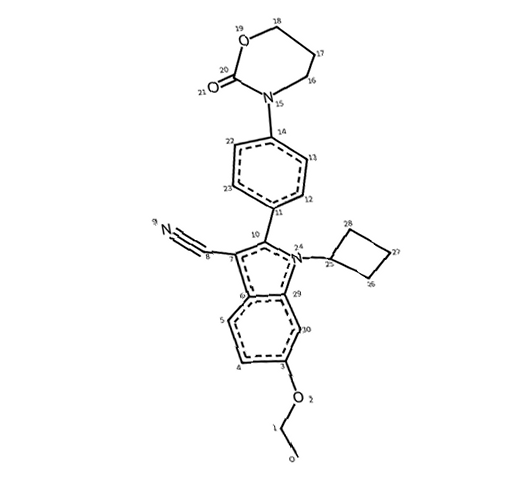 CCOc1ccc2c(C#N)c(-c3ccc(N4CCCOC4=O)cc3)n(C3CCC3)c2c1